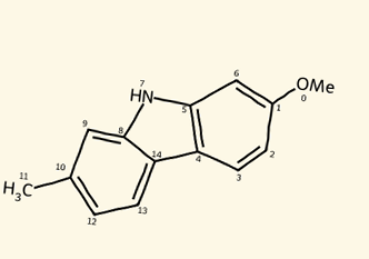 COc1ccc2c(c1)[nH]c1cc(C)ccc12